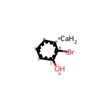 Oc1ccccc1Br.[CaH2]